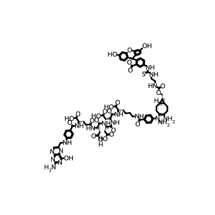 N/C1=C(\N(N)c2ccc(C(=O)NCCCC[C@H](NC(=O)[C@H](CC(=O)O)NC(=O)[C@H](CC(=O)O)NC(=O)[C@H](CC(=O)O)NC(=O)CC[C@H](NC(=O)c3ccc(NCc4cnc5nc(N)nc(O)c5n4)cc3)C(=O)O)C(=O)O)cc2)CC[C@H]2C(CC1)[C@H]2COC(=O)NCCNC(=S)Nc1ccc2c(c1)C(=O)OC21c2ccc(O)cc2Oc2cc(O)ccc21